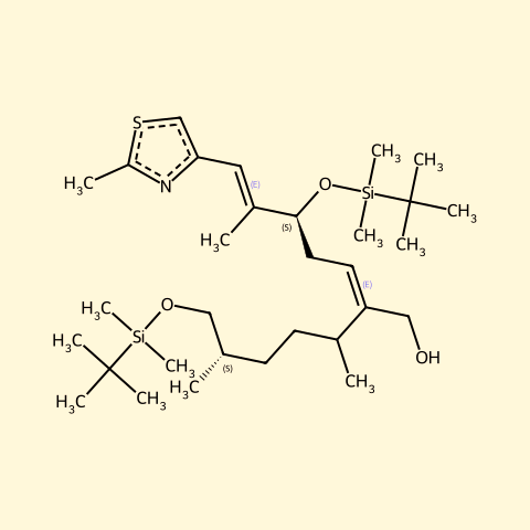 C/C(=C\c1csc(C)n1)[C@H](C/C=C(/CO)C(C)CC[C@H](C)CO[Si](C)(C)C(C)(C)C)O[Si](C)(C)C(C)(C)C